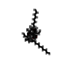 CCCCCCCCC[O][Sn]([O][Sn]([O]CCCCCCCCC)([C](F)(F)C(F)CC)[C](F)(F)C(F)CC)([C](F)(F)C(F)CC)[C](F)(F)C(F)CC